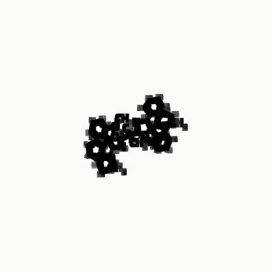 COc1ccccc1C1(c2ccccc2OC)OC(C(C)(C)C2=N[C@H](c3ccccc3)C(c3ccccc3OC)(c3ccccc3OC)O2)=N[C@@H]1c1ccccc1